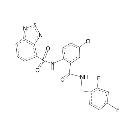 O=C(NCc1ccc(F)cc1F)c1cc(Cl)ccc1NS(=O)(=O)c1cccc2nsnc12